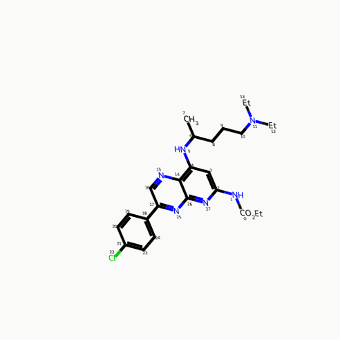 CCOC(=O)Nc1cc(NC(C)CCCN(CC)CC)c2ncc(-c3ccc(Cl)cc3)nc2n1